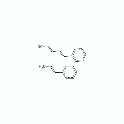 CC=Cc1ccccc1.N#CC=CC=Cc1ccccc1